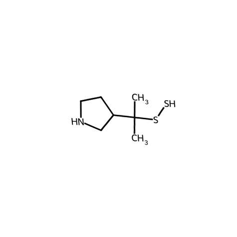 CC(C)(SS)C1CCNC1